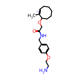 C/C1=C/CCCCCC1OCC(=O)NCc1ccc(OCCN)cc1